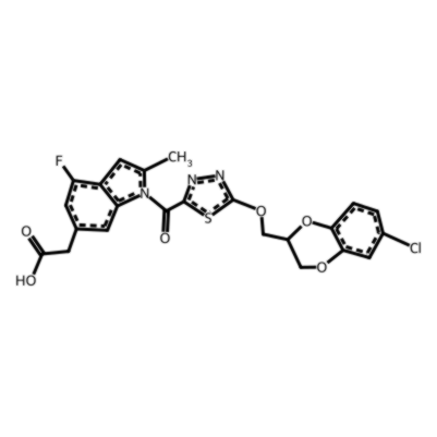 Cc1cc2c(F)cc(CC(=O)O)cc2n1C(=O)c1nnc(OCC2COc3cc(Cl)ccc3O2)s1